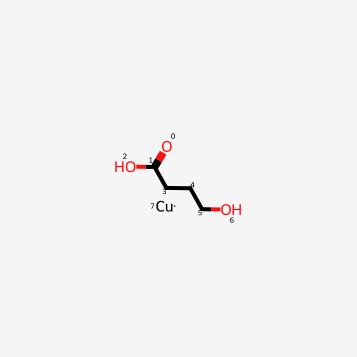 O=C(O)CCCO.[Cu]